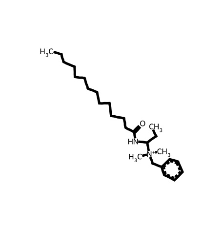 CCCCCCCCCCCCCC(=O)NC(CC)[N+](C)(C)Cc1ccccc1